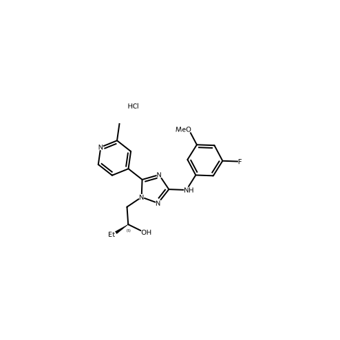 CC[C@H](O)Cn1nc(Nc2cc(F)cc(OC)c2)nc1-c1ccnc(C)c1.Cl